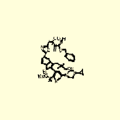 CCn1c(-c2cc(N3CCN(C4CC4)CC3)cnc2[C@H](C)OC)c(CC(C)(C)CO)c2cc(-c3nnc(C[C@H](NC(=O)OCc4ccccc4)C(=O)O)o3)ccc21